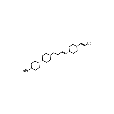 CC/C=C/[C@H]1CC[C@H](/C=C/CCC2CCC([C@H]3CC[C@H](CCC)CC3)CC2)CC1